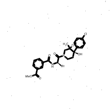 COC(=O)c1cccc(C(=O)N[C@@H](C(=O)N2CC[C@@](O)(c3ccc(Cl)cc3)C(C)(C)C2)C(C)C)c1